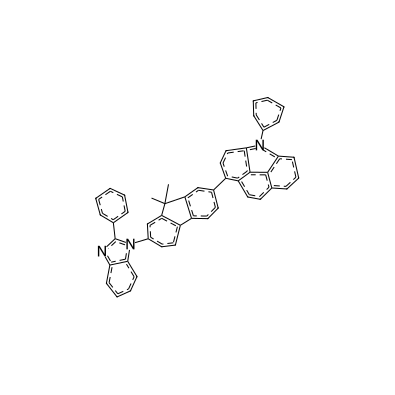 CC1(C)c2cc(-c3ccc4c5c3ccc3cccc(c35)n4-c3ccccc3)ccc2-c2ccc(-n3c(-c4ccccc4)nc4ccccc43)cc21